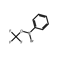 FC(F)(F)OB(Br)c1ccccc1